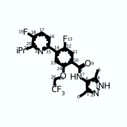 Cc1n[nH]c(C)c1NC(=O)c1cc(F)c(-c2ccc(F)c(C(C)C)n2)cc1OCC(F)(F)F